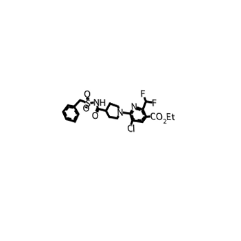 CCOC(=O)c1cc(Cl)c(N2CCC(C(=O)NS(=O)(=O)Cc3ccccc3)CC2)nc1C(F)F